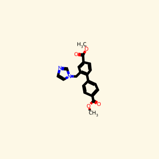 COC(=O)c1ccc(-c2ccc(C(=O)OC)cc2Cn2ccnc2)cc1